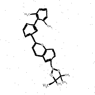 Cc1cccc(C)c1-c1cccc(C2CCc3cc(B4OC(C)(C)C(C)(C)O4)ccc3O2)c1